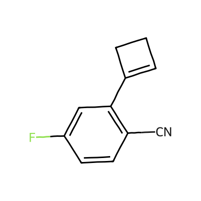 N#Cc1ccc(F)cc1C1=CCC1